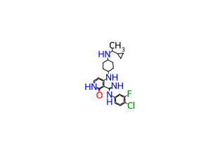 CC(NC1CCC(Nc2cc[nH]c(=O)c2C(=N)Nc2ccc(Cl)c(F)c2)CC1)C1CC1